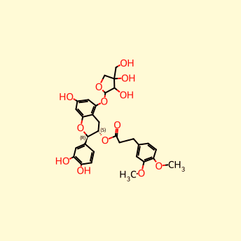 COc1ccc(CCC(=O)O[C@H]2Cc3c(OC4OCC(O)(CO)C4O)cc(O)cc3O[C@@H]2c2ccc(O)c(O)c2)cc1OC